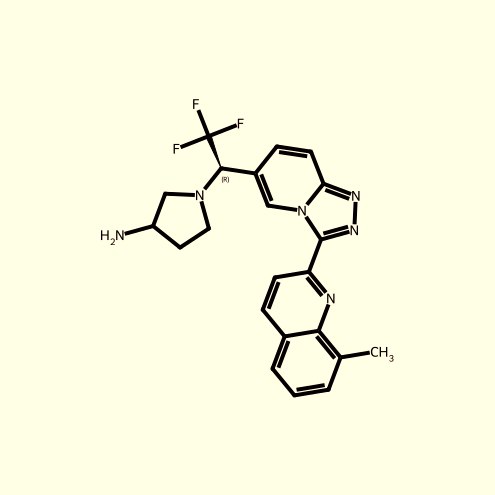 Cc1cccc2ccc(-c3nnc4ccc([C@@H](N5CCC(N)C5)C(F)(F)F)cn34)nc12